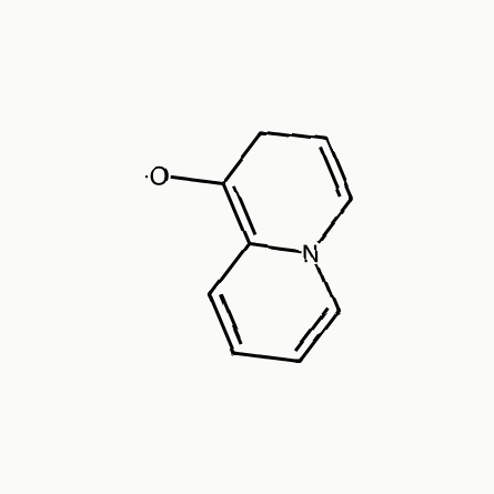 [O]C1=C2C=CC=CN2C=CC1